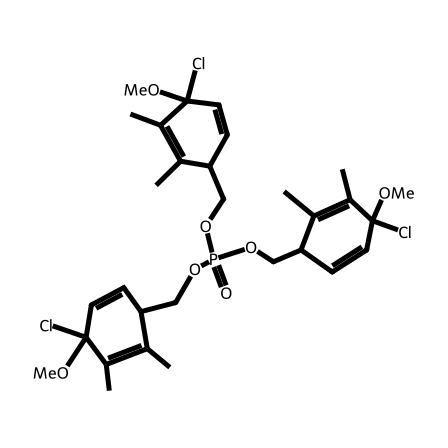 COC1(Cl)C=CC(COP(=O)(OCC2C=CC(Cl)(OC)C(C)=C2C)OCC2C=CC(Cl)(OC)C(C)=C2C)C(C)=C1C